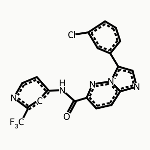 O=C(Nc1ccnc(C(F)(F)F)c1)c1ccc2ncc(-c3cccc(Cl)c3)n2n1